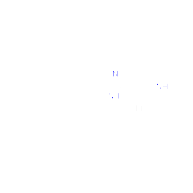 CC[C@@H](C=N)c1ncc(C#Cc2ccccc2)[nH]1